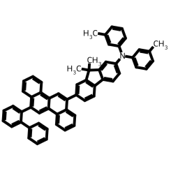 Cc1cccc(N(c2cccc(C)c2)c2ccc3c(c2)C(C)(C)c2cc(-c4cc5c6ccccc6c(-c6ccccc6-c6ccccc6)cc5c5ccccc45)ccc2-3)c1